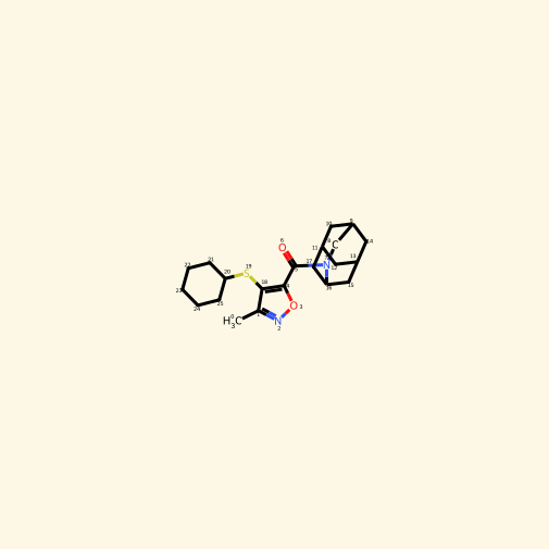 Cc1noc(C(=O)N2CC3CC4CC(C3)CC2C4)c1SC1CCCCC1